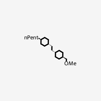 CCCCC[C@H]1CC[C@H](CC[C@H]2CC[C@H](COC)CC2)CC1